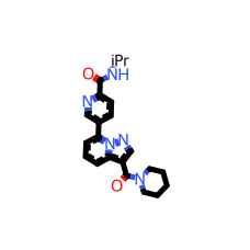 CC(C)NC(=O)c1ccc(-c2cccc3c(C(=O)N4CCCCC4)cnn23)cn1